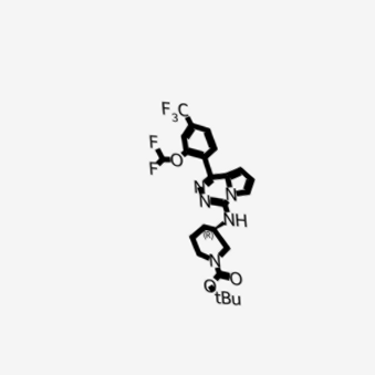 CC(C)(C)OC(=O)N1CCC[C@@H](Nc2nnc(-c3ccc(C(F)(F)F)cc3OC(F)F)c3cccn23)C1